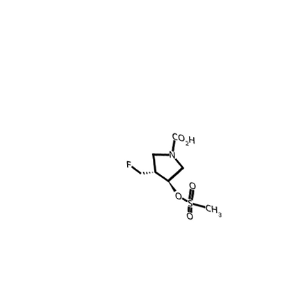 CS(=O)(=O)O[C@@H]1CN(C(=O)O)C[C@H]1CF